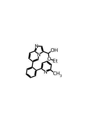 CCOC(O)c1cnc2ccc(-c3ccccc3-c3cccc(C)n3)cn12